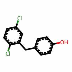 Oc1ccc(Cc2cc(Cl)ccc2Cl)cc1